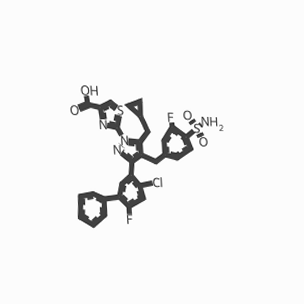 NS(=O)(=O)c1ccc(Cc2c(-c3cc(-c4ccccc4)c(F)cc3Cl)nn(-c3nc(C(=O)O)cs3)c2CC2CC2)cc1F